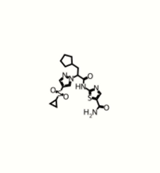 NC(=O)c1cnc(NC(=O)C(CC2CCCC2)n2cc(S(=O)(=O)C3CC3)cn2)s1